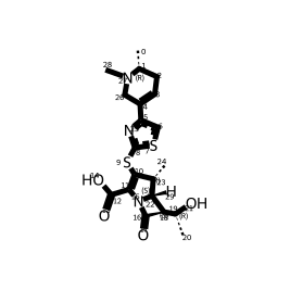 C[C@@H]1CC=C(c2csc(SC3=C(C(=O)O)N4C(=O)[C@H]([C@@H](C)O)[C@H]4[C@H]3C)n2)CN1C